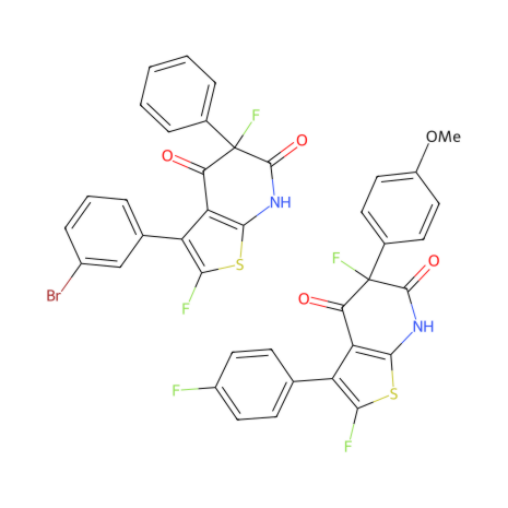 COc1ccc(C2(F)C(=O)Nc3sc(F)c(-c4ccc(F)cc4)c3C2=O)cc1.O=C1Nc2sc(F)c(-c3cccc(Br)c3)c2C(=O)C1(F)c1ccccc1